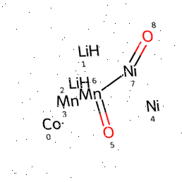 [Co].[LiH].[LiH].[Mn].[Ni].[O]=[Mn][Ni]=[O]